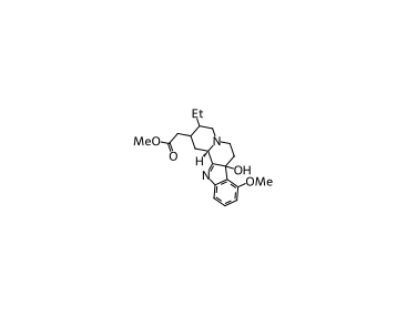 CCC1CN2CCC3(O)C(=Nc4cccc(OC)c43)[C@@H]2CC1CC(=O)OC